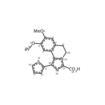 COc1cc2c(cc1OC(C)C)-c1c(-c3cccs3)nc(C(=O)O)n1CC2